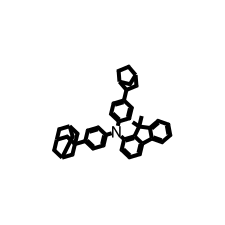 CC1(C)c2ccccc2-c2cccc(N(c3ccc(C4CC5CCC4C5)cc3)c3ccc(C45CC6CC(CC(C6)C4)C5)cc3)c21